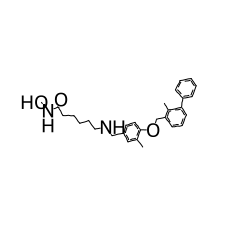 Cc1cc(CNCCCCCC(=O)NO)ccc1OCc1cccc(-c2ccccc2)c1C